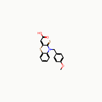 COc1ccc(CN2C(=S)C(=CC(=O)O)Sc3ccccc32)cc1